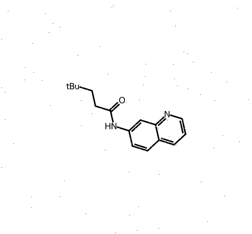 CC(C)(C)CCC(=O)Nc1ccc2cccnc2c1